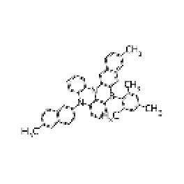 Cc1cc(C)c(B2c3cc4cc(C)ccc4cc3N3c4ccccc4N(c4ccc5cc(C)ccc5c4)c4cccc2c43)c(C)c1